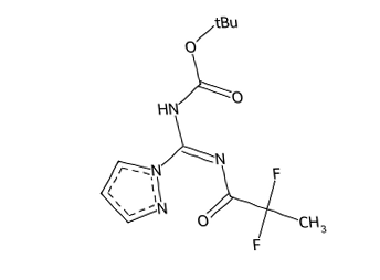 CC(C)(C)OC(=O)N/C(=N/C(=O)C(C)(F)F)n1cccn1